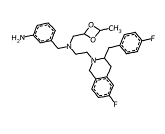 CC1OC(CN(CCN2Cc3ccc(F)cc3CC2Cc2ccc(F)cc2)Cc2cccc(N)c2)O1